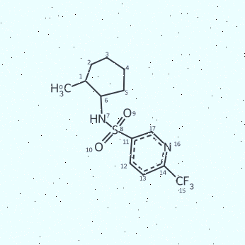 CC1CCCCC1NS(=O)(=O)c1ccc(C(F)(F)F)nc1